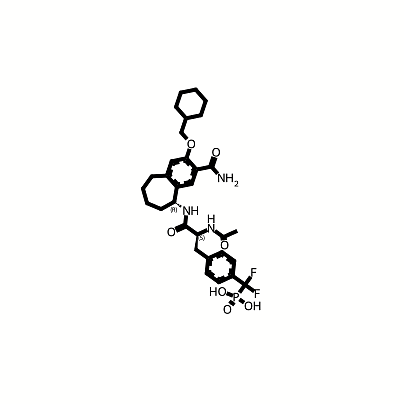 CC(=O)N[C@@H](Cc1ccc(C(F)(F)P(=O)(O)O)cc1)C(=O)N[C@@H]1CCCCc2cc(OCC3CCCCC3)c(C(N)=O)cc21